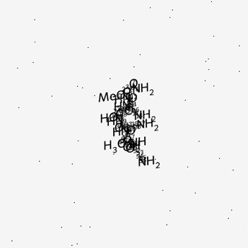 COc1ccc(C(N)=O)cc1NC(=O)[C@@H](CCCCN)NC(=O)c1ccc(O)c(NCC(=O)[C@@H](CCCCN)NC(=O)c2cc(C)c(O)c(NC(=O)CCCCCN)c2)c1